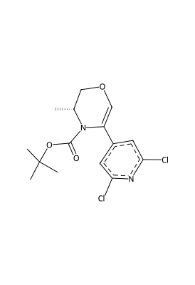 C[C@@H]1COC=C(c2cc(Cl)nc(Cl)c2)N1C(=O)OC(C)(C)C